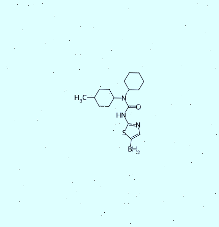 Bc1cnc(NC(=O)N(C2CCCCC2)C2CCC(C)CC2)s1